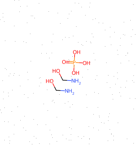 NCO.NCO.O=P(O)(O)O